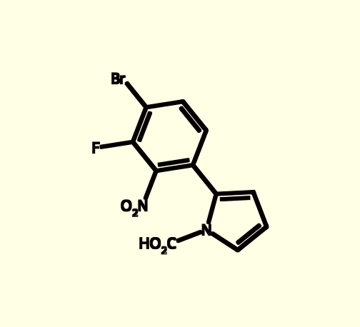 O=C(O)n1cccc1-c1ccc(Br)c(F)c1[N+](=O)[O-]